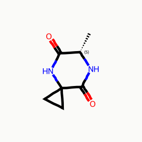 C[C@@H]1NC(=O)C2(CC2)NC1=O